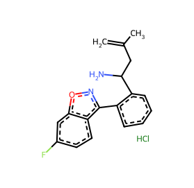 C=C(C)CC(N)c1ccccc1-c1noc2cc(F)ccc12.Cl